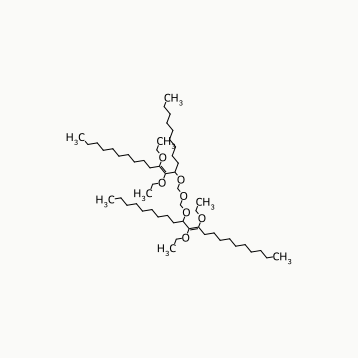 CCCCCCCCCCC(OCC)=C(OCC)C(CCCCCCCCC)OCOCOC(CCCCCCCCC)C(OCC)=C(CCCCCCCCCC)OCC